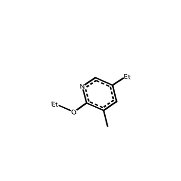 CCOc1ncc(CC)cc1C